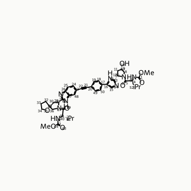 COC(=O)N[C@H](C(=O)N1C[C@@H](O)C[C@H]1c1ncc(-c2ccc(C#Cc3ccc4nc([C@@H]5C[C@@]6(CCCO6)CN5C(=O)[C@@H](NC(=O)OC)C(C)C)[nH]c4c3)cc2)[nH]1)C(C)C